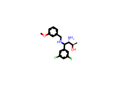 COc1cccc(CNC(c2cc(F)cc(F)c2)[C@H](N)[C@@H](C)O)c1